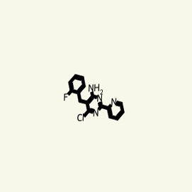 Nc1nc(-c2ccccn2)nc(Cl)c1Cc1ccccc1F